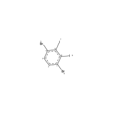 Brc1ccc(Br)c(I)c1I